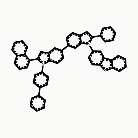 c1ccc(-c2ccc(-n3c(-c4cccc5ccccc45)cc4cc(-c5ccc6cc(-c7ccccc7)n(-c7ccc8sc9ccccc9c8c7)c6c5)ccc43)cc2)cc1